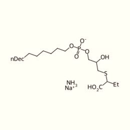 CCCCCCCCCCCCCCCCOP(=O)([O-])OCC(O)CSC(CC)C(=O)O.N.[Na+]